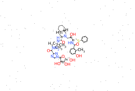 Cc1c(O)cccc1C(=O)N[C@@H](CSc1ccccc1)[C@H](O)CN1C[C@H]2CCCC[C@H]2C[C@H]1C(=O)NC(C)(C)C.NC(=O)c1ncn([C@@H]2O[C@H](CO)[C@@H](O)[C@H]2O)n1